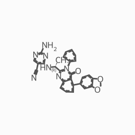 C[C@@H](Nc1nc(N)ncc1C#N)c1nc2cccc(-c3ccc4c(c3)OCO4)c2c(=O)n1-c1ccccc1